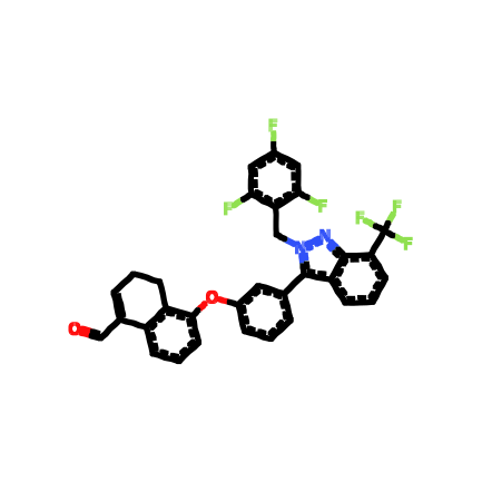 O=CC1=CCCc2c(Oc3cccc(-c4c5cccc(C(F)(F)F)c5nn4Cc4c(F)cc(F)cc4F)c3)cccc21